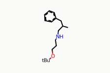 CC(CNCCCOC(C)(C)C)Cc1ccccc1